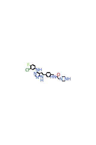 O=C(CN1CCNCC1)NCc1ccc(-c2cc3c(Nc4ccc(F)c(Cl)c4)ncnc3[nH]2)cc1